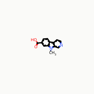 Cn1c2cnccc2c2ccc(C(=O)O)cc21